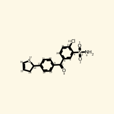 NS(=O)(=O)c1cc(C(=O)c2ccc(C3CC=CS3)cc2)ccc1Cl